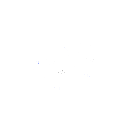 C=Cc1ccc(-c2ncc(-c3ccc(-c4ncccc4-c4ccc(C=N)c(NC)c4)cc3C)cc2-c2ccc(C=N)c(NC)c2)cc1C